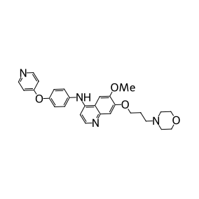 COc1cc2c(Nc3ccc(Oc4ccncc4)cc3)ccnc2cc1OCCCN1CCOCC1